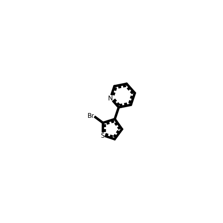 Brc1sccc1-c1ccccn1